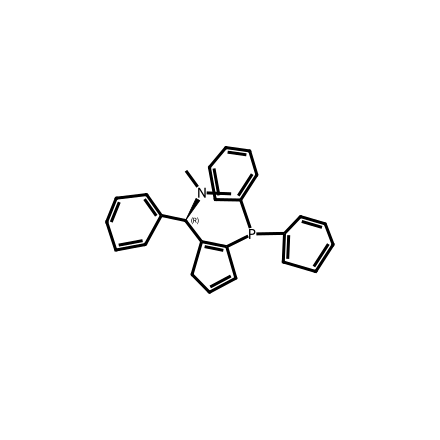 CN(C)[C@@H](C1=C(P(c2ccccc2)c2ccccc2)C=CC1)c1ccccc1